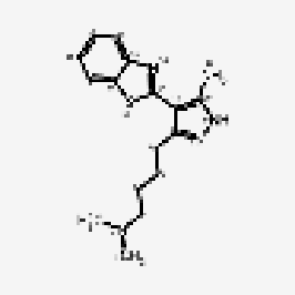 CN(C)CCCCc1n[nH]c(N)c1-c1nc2ccccc2s1